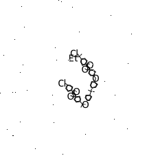 CCC(C)(Cl)c1ccc(S(=O)(=O)c2ccc(Oc3ccc(C(C)(C)c4ccc(OC(C)c5ccc(S(=O)(=O)c6ccc(Cl)cc6)cc5)cc4)cc3)cc2)cc1